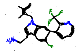 CC(C)(C)Cn1cc(CN)c2cc(F)c(-c3cccnc3C(F)(F)F)cc21